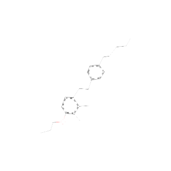 CCCCCc1ccc(CCc2ccc(OCCC)c(C)c2C)cc1